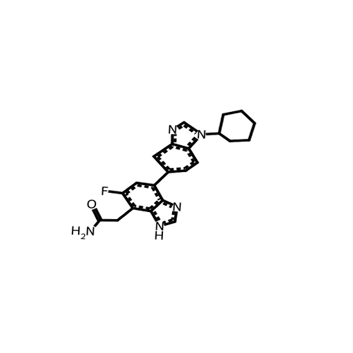 NC(=O)Cc1c(F)cc(-c2ccc3c(c2)ncn3C2CCCCC2)c2nc[nH]c12